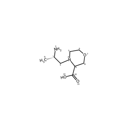 C[C@H](N)CN1CCOCC1C(=O)O